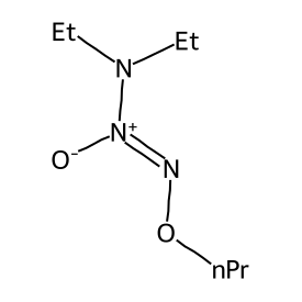 CCCON=[N+]([O-])N(CC)CC